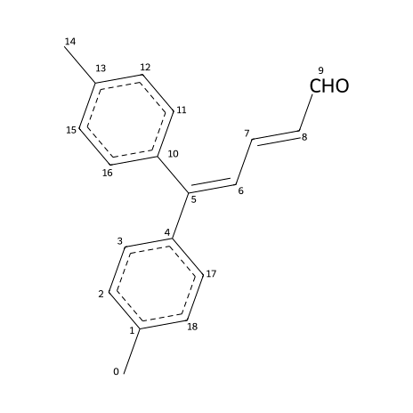 Cc1ccc(C(=CC=CC=O)c2ccc(C)cc2)cc1